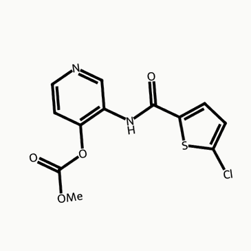 COC(=O)Oc1ccncc1NC(=O)c1ccc(Cl)s1